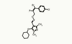 CCC(=C(F)CON=Cc1c(C)nn(C)c1OC1CCCCC1)c1ccc(Cl)cc1